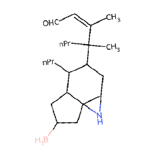 BC1CC2C(CCC)C(C(C)(CCC)/C(C)=C\C=O)CC3NC32C1